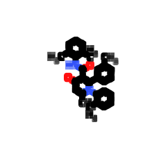 Cc1cccc(-c2c(C(=O)Nc3c(C)cccc3C)c(=O)cc(C)n2-c2ccccc2C)c1